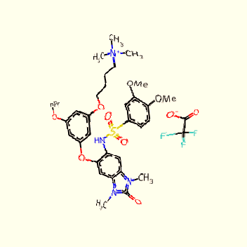 CCCOc1cc(OCCCC[N+](C)(C)C)cc(Oc2cc3c(cc2NS(=O)(=O)c2ccc(OC)c(OC)c2)n(C)c(=O)n3C)c1.O=C([O-])C(F)(F)F